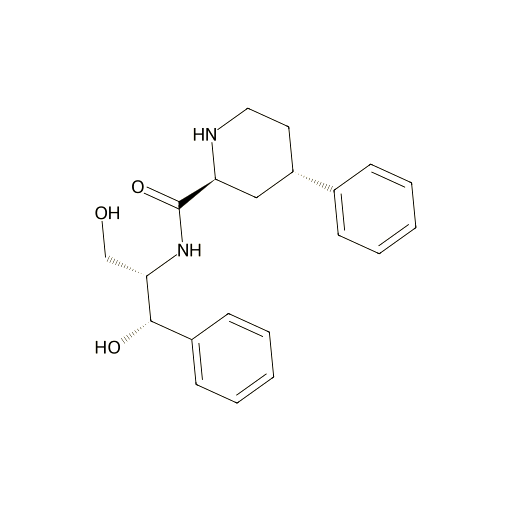 O=C(N[C@@H](CO)[C@@H](O)c1ccccc1)[C@@H]1C[C@@H](c2ccccc2)CCN1